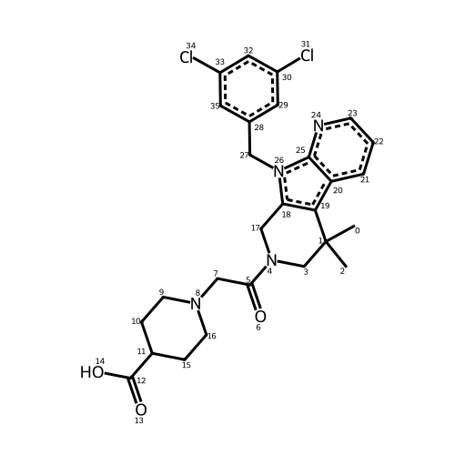 CC1(C)CN(C(=O)CN2CCC(C(=O)O)CC2)Cc2c1c1cccnc1n2Cc1cc(Cl)cc(Cl)c1